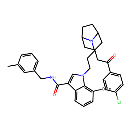 COc1cccc2c(C(=O)NCc3cccc(C)c3)cn(CCCN3C4CCC3CC(CC(=O)c3ccc(Cl)cc3)C4)c12